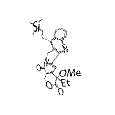 CC[C@@]1(OC)C(=O)OCc2c1cc1n(c2=O)Cc2c-1nc1ccccc1c2CC[Si](C)(C)C